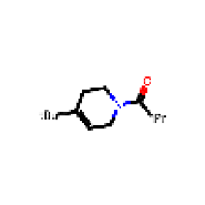 CC(C)C(=O)N1CC=C(C(C)(C)C)CC1